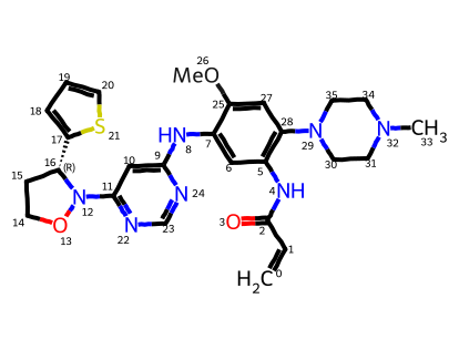 C=CC(=O)Nc1cc(Nc2cc(N3OCC[C@@H]3c3cccs3)ncn2)c(OC)cc1N1CCN(C)CC1